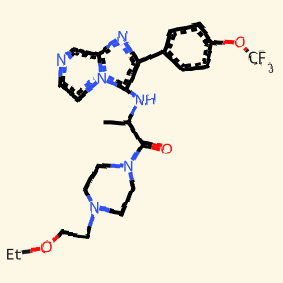 CCOCCN1CCN(C(=O)C(C)Nc2c(-c3ccc(OC(F)(F)F)cc3)nc3cnccn23)CC1